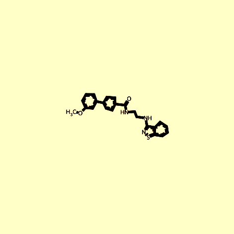 COc1cccc(-c2ccc(C(=O)NCCNc3nsc4ccccc34)cc2)c1